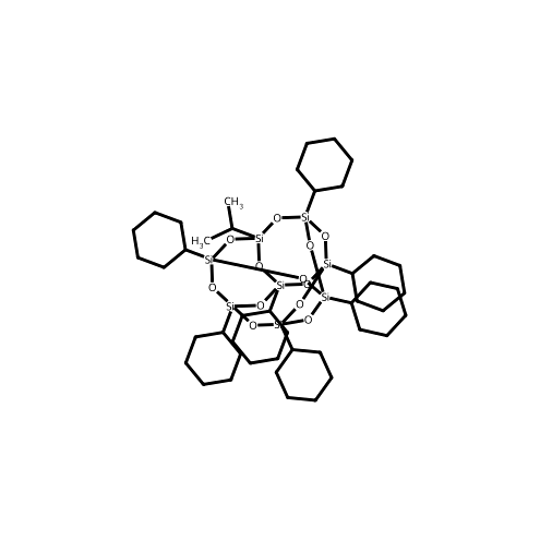 CC(C)[Si]12O[Si]3(C4CCCCC4)O[Si]4(C5CCCCC5)O[Si](C5CCCCC5)(O1)O[Si]1(C5CCCCC5)O[Si](C5CCCCC5)(O2)O[Si](C2CCCCC2)(O3)O[Si](C2CCCCC2)(O4)O1